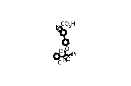 CC(C)c1onc(-c2c(Cl)cccc2Cl)c1COc1ccc(-c2ccc3c(C(=O)O)nsc3c2)cc1